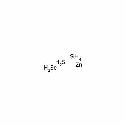 S.[SeH2].[SiH4].[Zn]